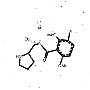 CC[C@H](NC(=O)c1c(OC)ccc(Br)c1OC)C1CCCN1.[Cl-].[H+]